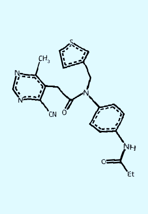 CCC(=O)Nc1ccc(N(Cc2ccsc2)C(=O)Cc2c(C)ncnc2C#N)cc1